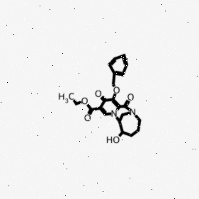 CCOC(=O)c1cn2c(c(OCc3ccccc3)c1=O)C(=O)N1CCCC(O)C2C1